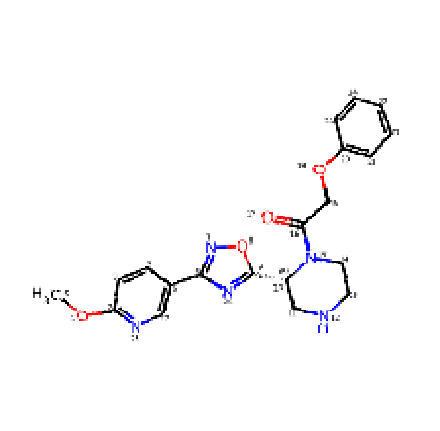 COc1ccc(-c2noc([C@H]3CNCCN3C(=O)COc3ccccc3)n2)cn1